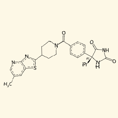 Cc1cnc2nc(C3CCN(C(=O)c4ccc([C@@]5(C(C)C)NC(=O)NC5=O)cc4)CC3)sc2c1